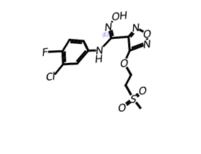 CS(=O)(=O)CCOc1nonc1/C(=N\O)Nc1ccc(F)c(Cl)c1